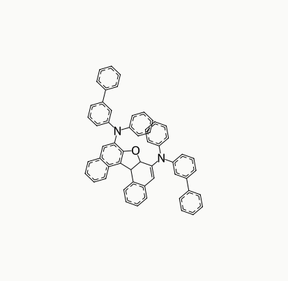 C1=C(N(c2ccccc2)c2cccc(-c3ccccc3)c2)C2Oc3c(N(c4ccccc4)c4cccc(-c5ccccc5)c4)cc4ccccc4c3C2c2ccccc21